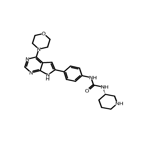 O=C(Nc1ccc(-c2cc3c(N4CCOCC4)ncnc3[nH]2)cc1)N[C@H]1CCCNC1